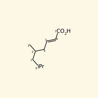 CC(C)CC(C)CC=CC(=O)O